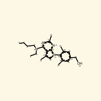 CCCCN(CC)c1nc(C)nc2c1c(C)cn2-c1c(C)cc(CO)cc1C